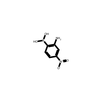 Nc1cc([N+](=O)[O-])ccc1B(O)O